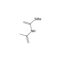 C=C(C)NC(=C)SC